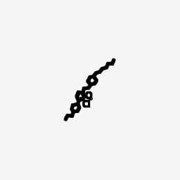 CCCCCCCC1CCC(CCc2ccc(C3CCC(CCC)CC3)c(Cl)c2OC)CC1